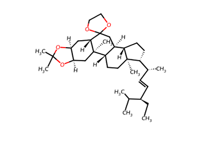 CC[C@H](C=C[C@@H](C)[C@H]1CC[C@H]2[C@@H]3CC4(OCCO4)[C@H]4C[C@@H]5OC(C)(C)O[C@@H]5C[C@]4(C)[C@H]3CC[C@]12C)C(C)C